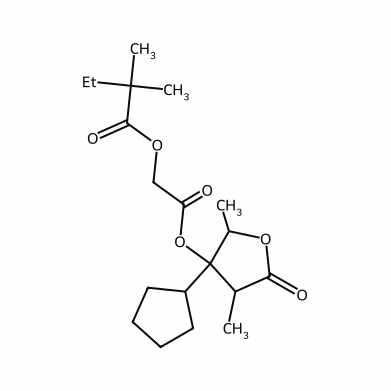 CCC(C)(C)C(=O)OCC(=O)OC1(C2CCCC2)C(C)OC(=O)C1C